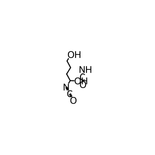 N=C=O.O=C=NC(O)CCCO